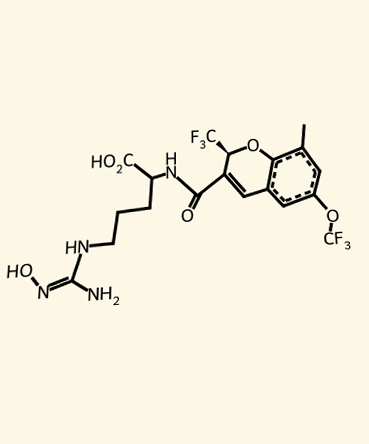 Cc1cc(OC(F)(F)F)cc2c1O[C@H](C(F)(F)F)C(C(=O)NC(CCCN/C(N)=N\O)C(=O)O)=C2